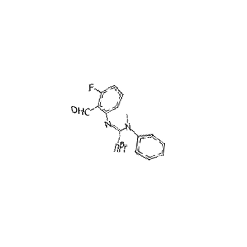 CCC/C(=N/c1cccc(F)c1C=O)N(C)c1ccccc1